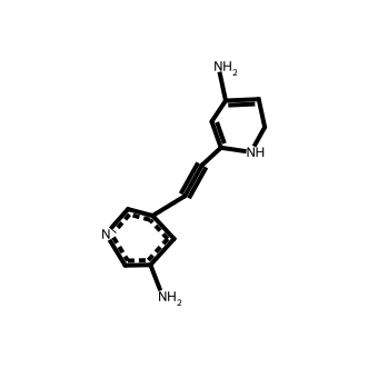 NC1=CCNC(C#Cc2cncc(N)c2)=C1